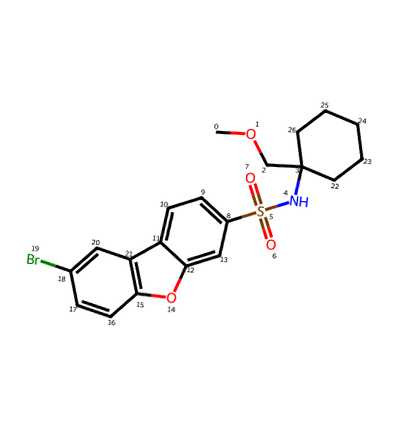 COCC1(NS(=O)(=O)c2ccc3c(c2)oc2ccc(Br)cc23)CCCCC1